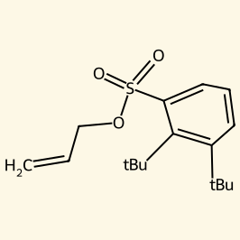 C=CCOS(=O)(=O)c1cccc(C(C)(C)C)c1C(C)(C)C